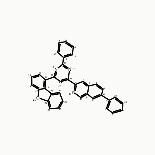 c1ccc(-c2ccc3cc(-c4nc(-c5ccccc5)nc(-c5cccc6oc7ccccc7c56)n4)ncc3c2)cc1